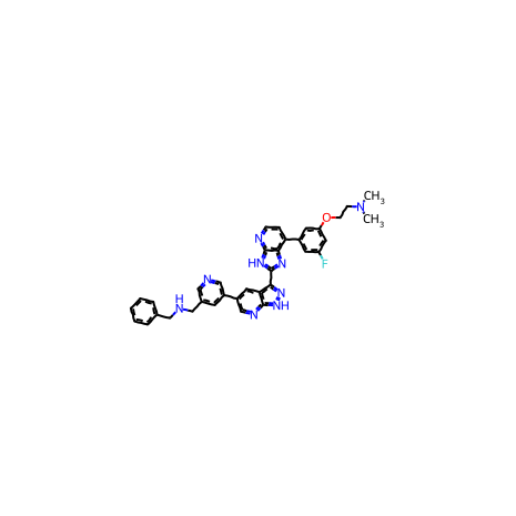 CN(C)CCOc1cc(F)cc(-c2ccnc3[nH]c(-c4n[nH]c5ncc(-c6cncc(CNCc7ccccc7)c6)cc45)nc23)c1